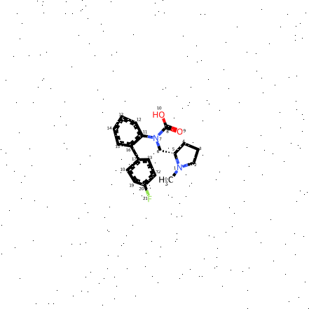 CN1CCC[C@H]1CN(C(=O)O)c1ccccc1-c1ccc(F)cc1